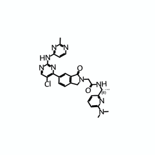 Cc1nccc(Nc2ncc(Cl)c(-c3ccc4c(c3)C(=O)N(CC(=O)N[C@H](C)c3cccc(N(C)C)n3)C4)n2)n1